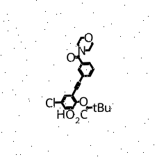 CC(C)(C)C(Oc1ccc(Cl)cc1C#Cc1cccc(C(=O)N2CCOCC2)c1)C(=O)O